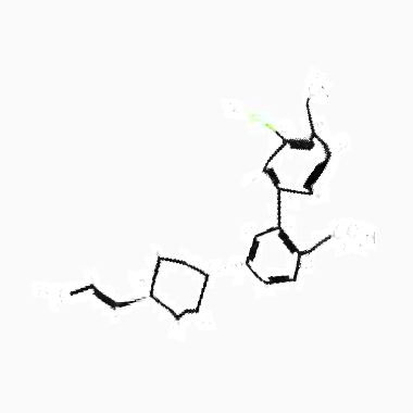 CC=C[C@H]1CC[C@H](c2ccc(C(=O)O)c(-c3ccc(C#N)c(F)c3)c2)CC1